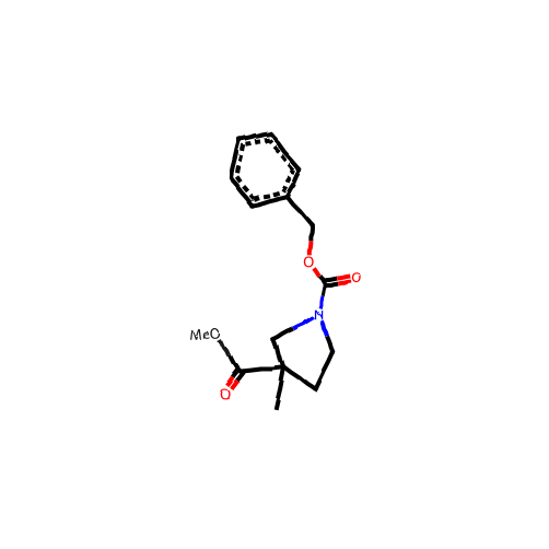 COC(=O)C1(C)CCN(C(=O)OCc2ccccc2)C1